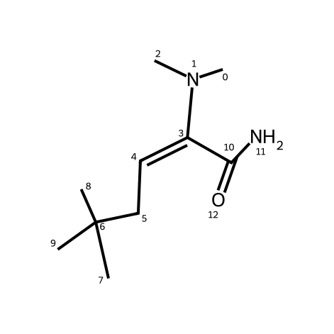 CN(C)/C(=C/CC(C)(C)C)C(N)=O